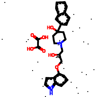 O=C(O)C(=O)O.O[C@H](COc1cccc2[nH]ccc12)CN1CCC(O)(c2ccc3ccccc3c2)CC1